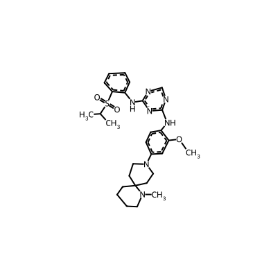 COc1cc(N2CCC3(CCCCN3C)CC2)ccc1Nc1ncnc(Nc2ccccc2S(=O)(=O)C(C)C)n1